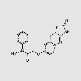 CN(C(=O)COc1ccc2c(c1)CN1CC(=O)NC1=N2)c1ccccc1